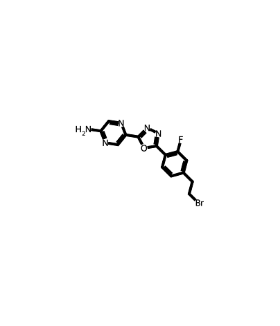 Nc1cnc(-c2nnc(-c3ccc(CCBr)cc3F)o2)cn1